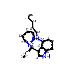 C=C=C(c1c[nH]c2cccc(NCCCCC)c12)[n+]1ccccc1